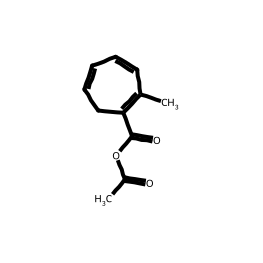 CC(=O)OC(=O)C1=C(C)C=CC=CC1